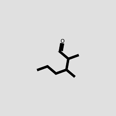 CCCC(C)C(C)[C]=O